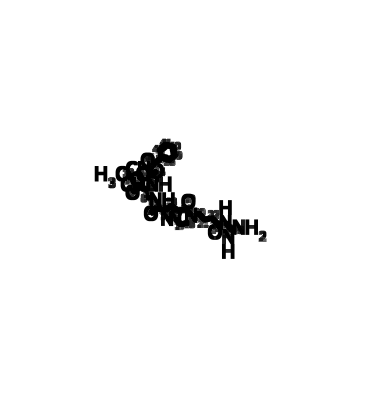 CC(C)(C)OC(=O)[C@H](CNC(=O)c1cc2n(n1)CCN(CCCC(=O)NC(=N)N)C2=O)NC(=O)OC(=O)c1ccccc1